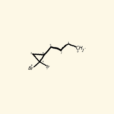 [CH2]CCCC1CC1(Br)Br